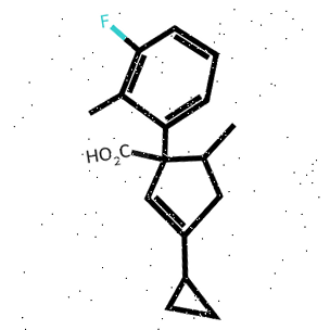 Cc1c(F)cccc1C1(C(=O)O)C=C(C2CC2)CC1C